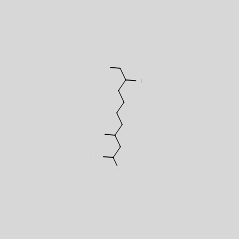 CCC(C)CCCCC(S)CC(C)C